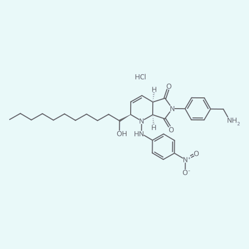 CCCCCCCCCCC(O)[C@H]1C=C[C@H]2C(=O)N(c3ccc(CN)cc3)C(=O)[C@H]2N1Nc1ccc([N+](=O)[O-])cc1.Cl